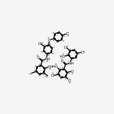 O=C(Nc1cc(Cl)cc(Cl)c1O)c1c(O)c(Cl)cc(Cl)c1Cl.O=C(Nc1ccc(Oc2ccc(Cl)cc2)c(Cl)c1)c1cc(I)cc(I)c1O